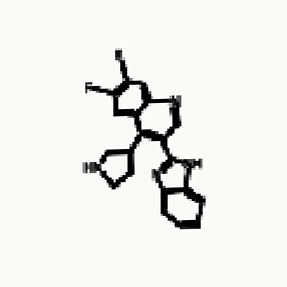 Fc1cc2ncc(-c3nc4ccccc4[nH]3)c(C3CCNC3)c2cc1F